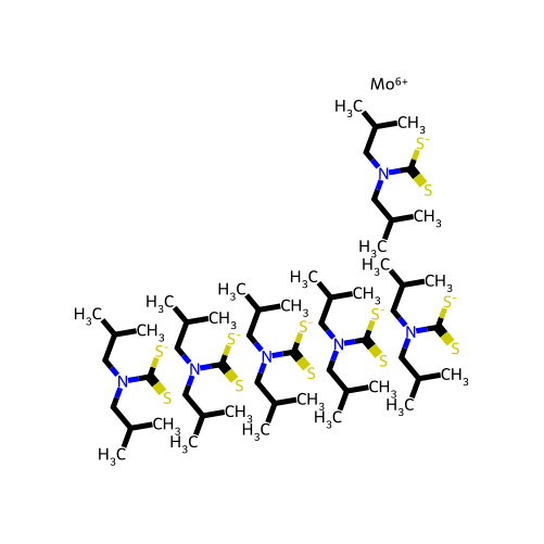 CC(C)CN(CC(C)C)C(=S)[S-].CC(C)CN(CC(C)C)C(=S)[S-].CC(C)CN(CC(C)C)C(=S)[S-].CC(C)CN(CC(C)C)C(=S)[S-].CC(C)CN(CC(C)C)C(=S)[S-].CC(C)CN(CC(C)C)C(=S)[S-].[Mo+6]